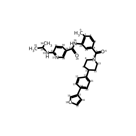 Cc1ccc(C(=O)N2CCC(c3ccc(-c4ccoc4)cc3)CC2)cc1NC(=O)c1ccc(NC(C)C)nc1